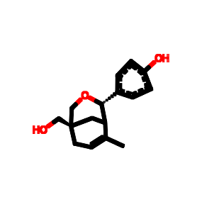 CC1=CC[C@]2(CO)CO[C@H](c3ccc(O)cc3)C1C2